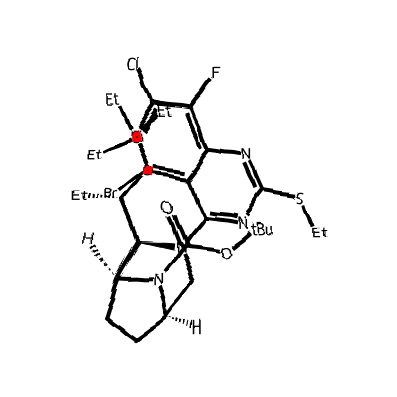 CCSc1nc(N2C[C@H]3CC[C@@H]([C@H]2[C@H](CC)O[Si](CC)(CC)CC)N3C(=O)OC(C)(C)C)c2c(Br)nc(Cl)c(F)c2n1